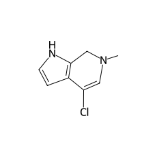 CN1C=C(Cl)c2cc[nH]c2C1